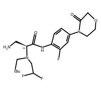 CC(C)(C)CN(CC(F)F)[C@@H](CN)C(=O)Nc1ccc(N2CCOCC2=O)cc1F